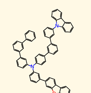 c1ccc(-c2cccc(-c3cccc(N(c4ccc(-c5cccc(-c6cccc(-n7c8ccccc8c8ccccc87)c6)c5)cc4)c4cccc(-c5ccc6c(c5)oc5ccccc56)c4)c3)c2)cc1